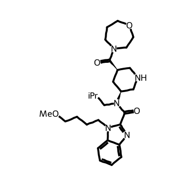 COCCCCn1c(C(=O)N(CC(C)C)[C@@H]2CNC[C@H](C(=O)N3CCCOCC3)C2)nc2ccccc21